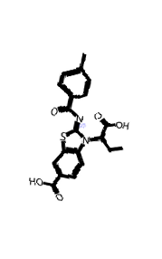 CCC(C(=O)O)n1/c(=N/C(=O)c2ccc(C)cc2)sc2cc(C(=O)O)ccc21